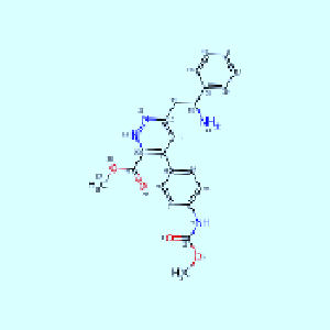 COC(=O)Nc1ccc(-c2cc(CC(N)c3ccccc3)nnc2C(=O)OC)cc1